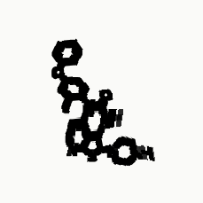 Cc1cc(Oc2ccccc2)ccc1N1C(=O)NC2c3c1ccnc3SC2N1CCNCC1